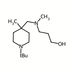 CN(CCCO)CC1(C)CCN(C(C)(C)C)CC1